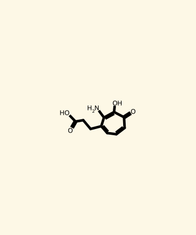 Nc1c(CCC(=O)O)cccc(=O)c1O